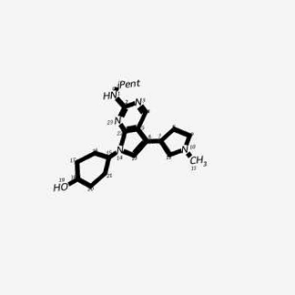 CCCC(C)Nc1ncc2c(C3CCN(C)C3)cn(C3CCC(O)CC3)c2n1